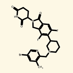 Cc1cc(Br)cnc1CN1CCCC(c2c(F)cc3c(c2F)CN(C2CCC(=O)NC2=O)C3=O)C1